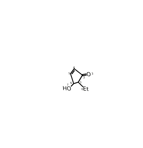 CCC1C(=O)C=CC1O